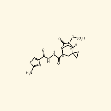 Nc1nc(C(=O)NNC(=O)[C@@H]2CC3(CC3)[C@@H]3CN2C(=O)N3OS(=O)(=O)O)cs1